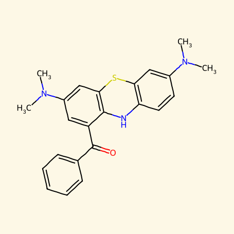 CN(C)c1ccc2c(c1)Sc1cc(N(C)C)cc(C(=O)c3ccccc3)c1N2